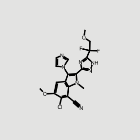 COCC(F)(F)c1nc(-c2c(-n3ccnc3)c3cc(OC)c(Cl)c(C#N)c3n2C)n[nH]1